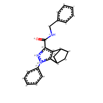 O=C(NCc1ccccc1)c1nn(-c2ccccc2)c2c1C1CCC2C1